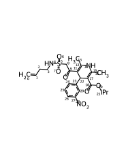 C=CCCNS(=O)(=O)CC(=O)C1=C(C)NC(C)=C(C(=O)OC(C)C)C1c1cccc([N+](=O)[O-])c1